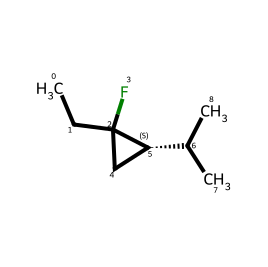 CCC1(F)C[C@H]1C(C)C